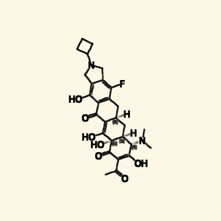 CC(=O)C1=C(O)[C@@H](N(C)C)[C@@H]2C[C@@H]3Cc4c(F)c5c(c(O)c4C(=O)C3=C(O)[C@]2(O)C1=O)CN(C1CCC1)C5